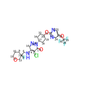 O=c1c(Cl)c(NC[C@@]2(F)CCCOC2)cnn1[C@H]1CC[C@H](Oc2ncc(OC(F)(F)F)cn2)CC1